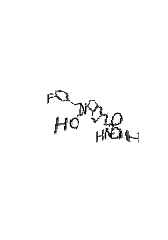 O=C(C=Cc1ccc2c(c1)CCC2N(CCO)CCc1cccc(F)c1)NO